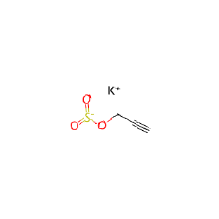 C#CCO[S-](=O)=O.[K+]